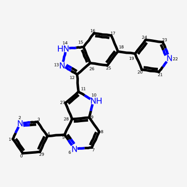 c1cncc(-c2nccc3[nH]c(-c4n[nH]c5ccc(-c6ccncc6)cc45)cc23)c1